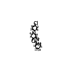 Clc1ccc(N2CCc3oc(-c4ccccn4)nc3C2)cc1